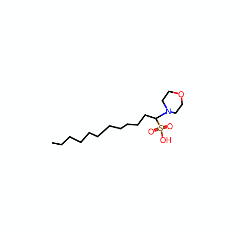 CCCCCCCCCCCC(N1CCOCC1)S(=O)(=O)O